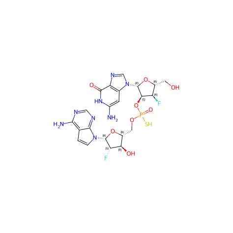 Nc1cc2c(ncn2[C@@H]2O[C@H](CO)[C@@H](F)[C@H]2OP(=O)(S)OC[C@H]2O[C@@H](n3ccc4c(N)ncnc43)[C@@H](F)[C@@H]2O)c(=O)[nH]1